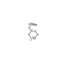 COCC1CCOCC1